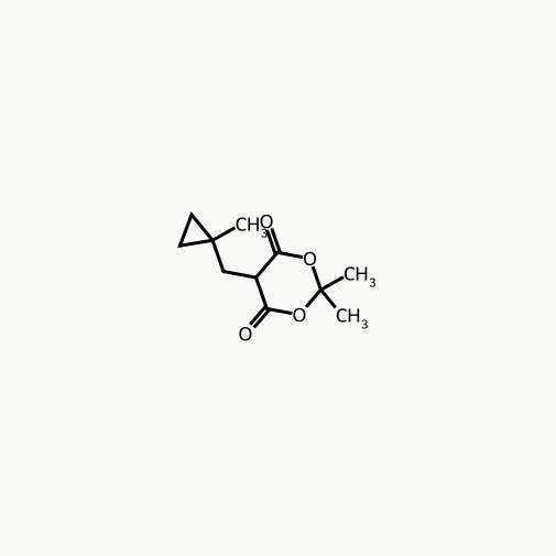 CC1(CC2C(=O)OC(C)(C)OC2=O)CC1